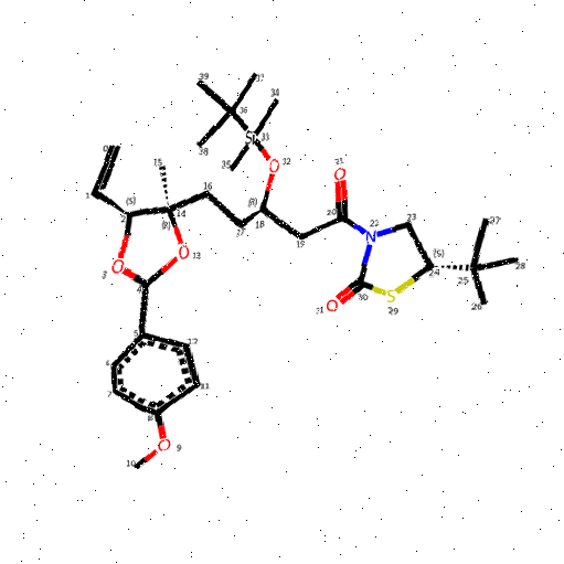 C=C[C@@H]1OC(c2ccc(OC)cc2)O[C@]1(C)CC[C@H](CC(=O)N1C[C@H](C(C)(C)C)SC1=O)O[Si](C)(C)C(C)(C)C